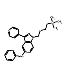 C[Si](C)(C)CCOCn1nc(-c2ccncc2)c2cc(Nc3ccccc3)ccc21